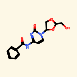 O=C(Nc1ccn(C2COC(CO)O2)c(=O)n1)c1ccccc1